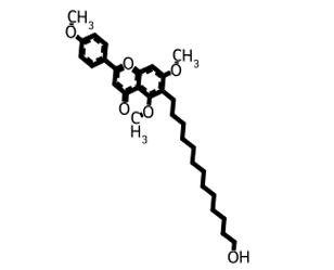 COc1ccc(-c2cc(=O)c3c(OC)c(CCCCCCCCCCCCCO)c(OC)cc3o2)cc1